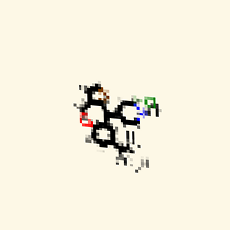 CCN1CCC(=C2c3cc(C(C)C(=O)O)ccc3OCc3ccsc32)CC1.Cl